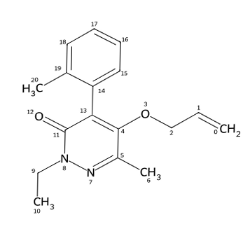 C=CCOc1c(C)nn(CC)c(=O)c1-c1ccccc1C